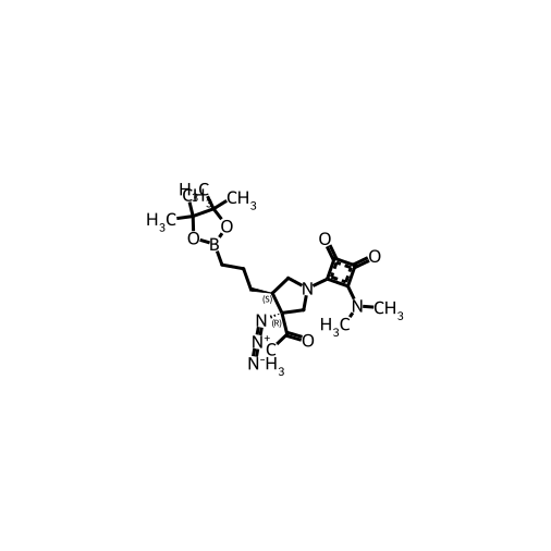 CC(=O)[C@]1(N=[N+]=[N-])CN(c2c(N(C)C)c(=O)c2=O)C[C@@H]1CCCB1OC(C)(C)C(C)(C)O1